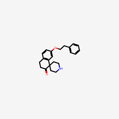 O=C1CCc2ccc(OCCc3ccccc3)cc2C12CCNCC2